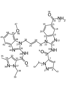 CCn1nc(C)cc1C(=O)Nc1nc2cc(C(N)=O)ccc2n1CC=CCn1c(NC(=O)c2cc(C)nn2CC)nc2cccc(OC)c21